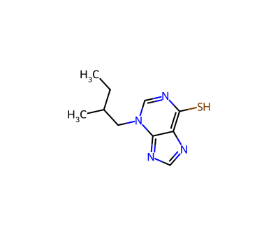 CCC(C)Cn1cnc(S)c2ncnc1-2